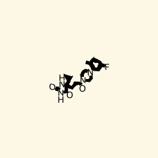 Cc1ccc(F)cc1N1CCN(C(=O)CCC2(C3CC3)NC(=O)NC2=O)CC1